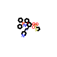 O=S(=O)(Oc1ccc(N=P(c2ccccc2)(c2ccccc2)c2ccccc2)c(/C=C/c2ccncc2)c1)c1cccs1